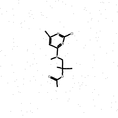 CC(=O)OC(C)(C)CN(C)c1cc(C)nc(Cl)n1